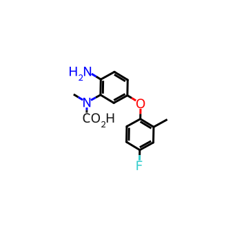 Cc1cc(F)ccc1Oc1ccc(N)c(N(C)C(=O)O)c1